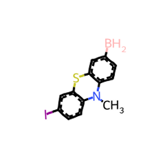 Bc1ccc2c(c1)Sc1cc(I)ccc1N2C